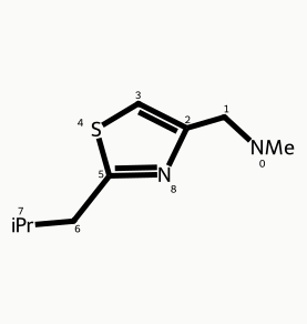 CNCc1csc(CC(C)C)n1